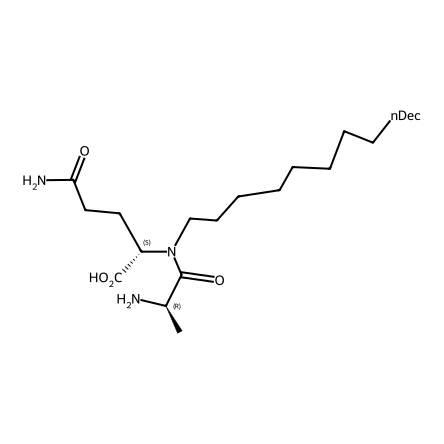 CCCCCCCCCCCCCCCCCCN(C(=O)[C@@H](C)N)[C@@H](CCC(N)=O)C(=O)O